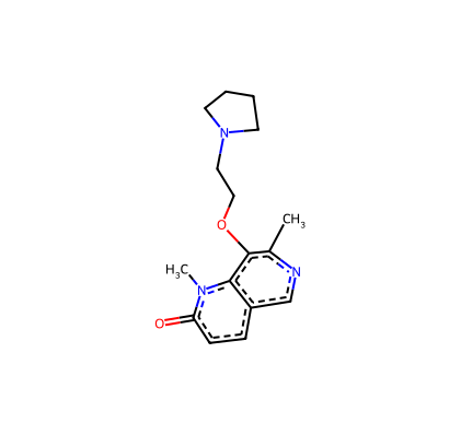 Cc1ncc2ccc(=O)n(C)c2c1OCCN1CCCC1